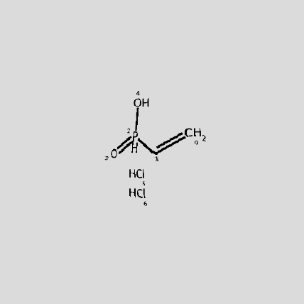 C=C[PH](=O)O.Cl.Cl